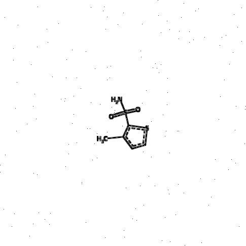 Cc1ccsc1S(N)(=O)=O